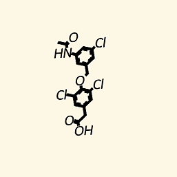 CC(=O)Nc1cc(Cl)cc(COc2c(Cl)cc(CC(=O)O)cc2Cl)c1